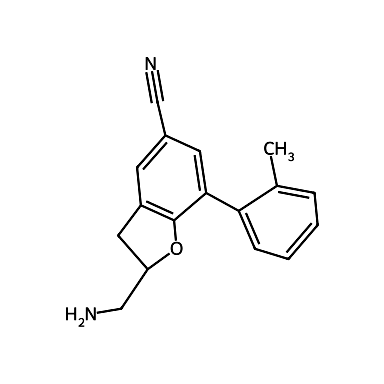 Cc1ccccc1-c1cc(C#N)cc2c1OC(CN)C2